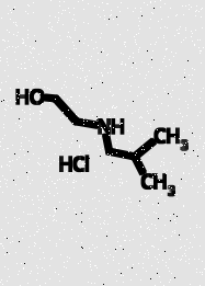 CC(C)CNCCO.Cl